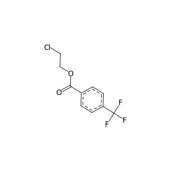 O=C(OCCCl)c1ccc(C(F)(F)F)cc1